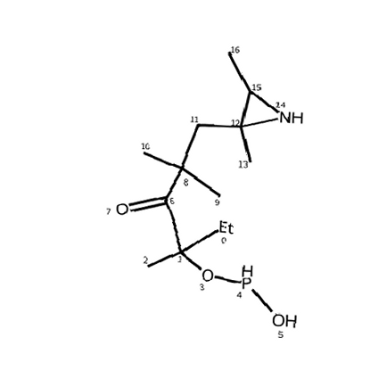 CCC(C)(OPO)C(=O)C(C)(C)CC1(C)NC1C